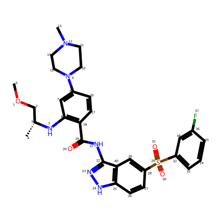 COC[C@@H](C)Nc1cc(N2CCN(C)CC2)ccc1C(=O)Nc1n[nH]c2ccc(S(=O)(=O)c3cccc(F)c3)cc12